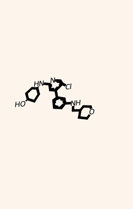 O[C@H]1CC[C@H](Nc2cc(-c3cccc(NCC4CCOCC4)c3)c(Cl)cn2)CC1